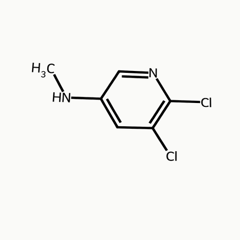 CNc1cnc(Cl)c(Cl)c1